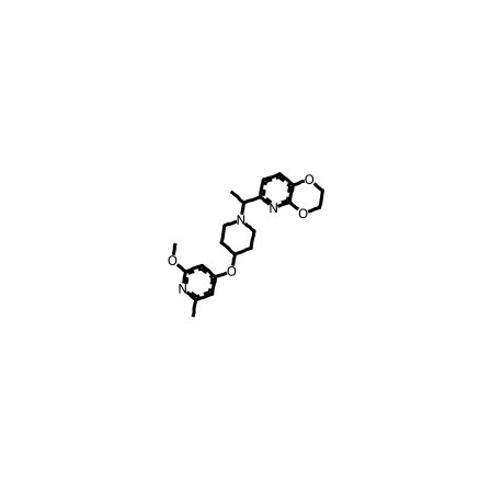 COc1cc(OC2CCN(C(C)c3ccc4c(n3)OCCO4)CC2)cc(C)n1